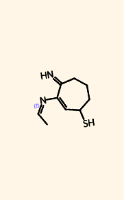 C/C=N\C1=CC(S)CCCC1=N